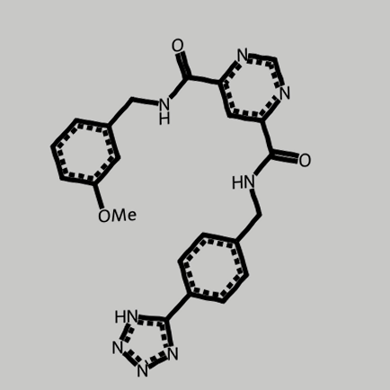 COc1cccc(CNC(=O)c2cc(C(=O)NCc3ccc(-c4nnn[nH]4)cc3)ncn2)c1